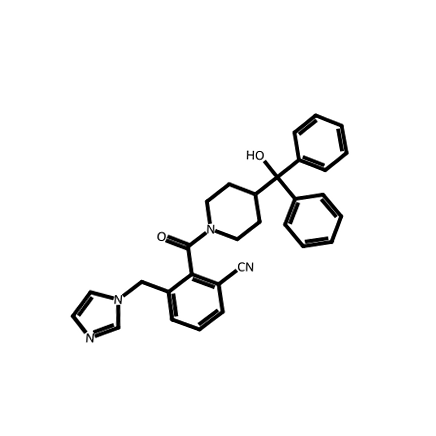 N#Cc1cccc(Cn2ccnc2)c1C(=O)N1CCC(C(O)(c2ccccc2)c2ccccc2)CC1